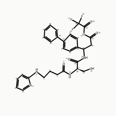 O=C(CCCNc1ccccn1)N[C@H](CO)C(=O)NC(CC(=O)OC(=O)C(F)(F)F)c1ccc(-c2ccccc2)cc1